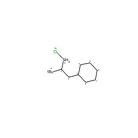 CC(C)(C)C(CC1CCCCC1)[SiH2]Cl